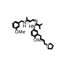 COc1cccc(CN/C(C)=C/C=N\C(Nc2ccc(OC)c(CCCCN3CCCC3)c2)=C(C)C)c1